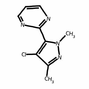 Cc1nn(C)c(-c2ncccn2)c1Cl